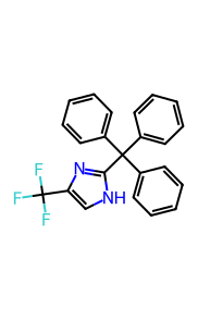 FC(F)(F)c1c[nH]c(C(c2ccccc2)(c2ccccc2)c2ccccc2)n1